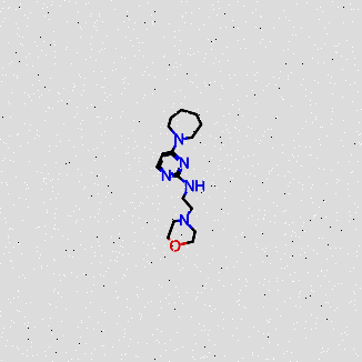 c1cc(N2CCCCCC2)nc(NCCN2CCOCC2)n1